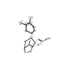 CN1C2CC[C@@H]1[C@@H](C=NO)[C@@H](c1ccc(Cl)c(Cl)c1)C2